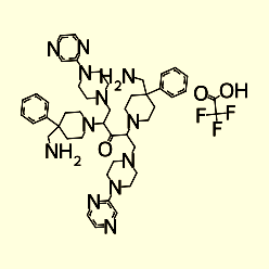 NCC1(c2ccccc2)CCN(C(CN2CCN(c3cnccn3)CC2)C(=O)C(CN2CCN(c3cnccn3)CC2)N2CCC(CN)(c3ccccc3)CC2)CC1.O=C(O)C(F)(F)F